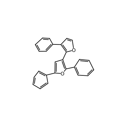 c1ccc(-c2cc(-c3occc3-c3ccccc3)c(-c3ccccc3)o2)cc1